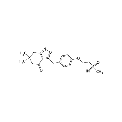 CC1(C)CC(=O)c2c(noc2Cc2ccc(OCCS(C)(=N)=O)cc2)C1